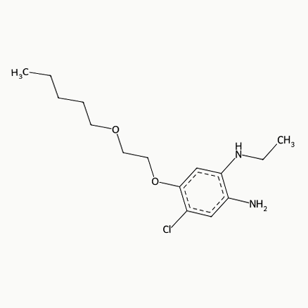 CCCCCOCCOc1cc(NCC)c(N)cc1Cl